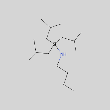 CCCCN[Si](CC(C)C)(CC(C)C)CC(C)C